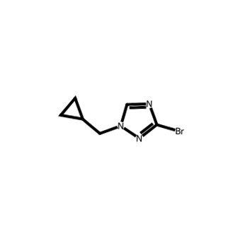 Brc1ncn(CC2CC2)n1